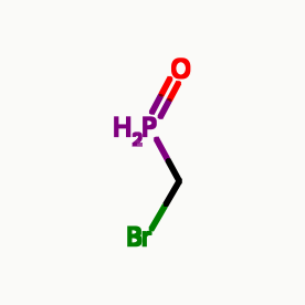 O=[PH2]CBr